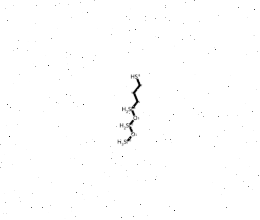 [SiH3]O[SiH2]O[SiH2]CCCS